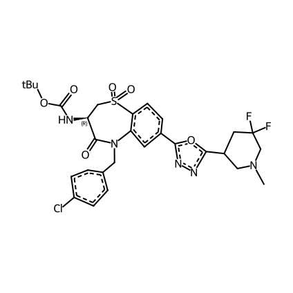 CN1CC(c2nnc(-c3ccc4c(c3)N(Cc3ccc(Cl)cc3)C(=O)[C@@H](NC(=O)OC(C)(C)C)CS4(=O)=O)o2)CC(F)(F)C1